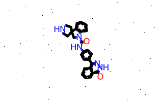 O=C(Nc1ccc(-c2n[nH]c(=O)c3ccccc23)cc1)N1CC2(CCNCC2)c2ccccc21